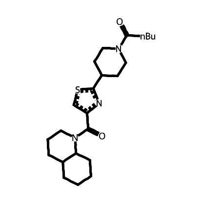 CCCCC(=O)N1CCC(c2nc(C(=O)N3CCCC4CCCCC43)cs2)CC1